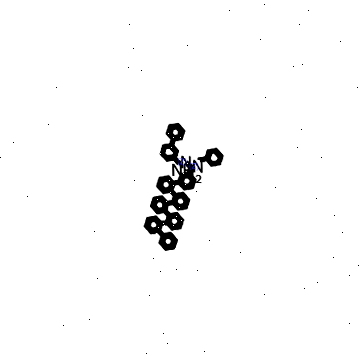 N/C(=N\C(=N/CC1=CC=CCC1)c1cccc(-c2ccccc2-c2ccccc2-c2ccccc2-c2ccccc2-c2ccccc2-c2ccccc2)c1)C1=CCCC(c2ccccc2)=C1